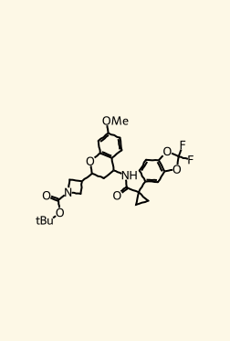 COc1ccc2c(c1)OC(C1CN(C(=O)OC(C)(C)C)C1)CC2NC(=O)C1(c2ccc3c(c2)OC(F)(F)O3)CC1